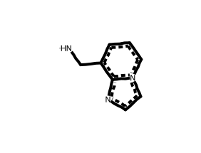 [NH]Cc1cccn2ccnc12